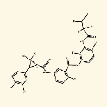 O=C(Nc1ccc(F)c(NC(=O)C(F)(F)C(F)F)c1F)c1cc(NC(=O)[C@H]2C(c3ccc(F)c(Cl)c3)C2(Cl)Cl)ccc1Cl